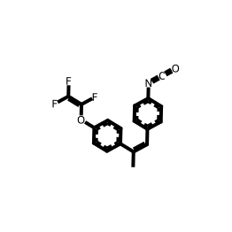 CC(=Cc1ccc(N=C=O)cc1)c1ccc(OC(F)=C(F)F)cc1